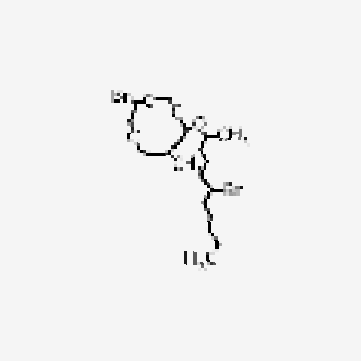 CCCCCC(Br)CCCC(C)OC1CCCC(Br)CCCCC(C)C1